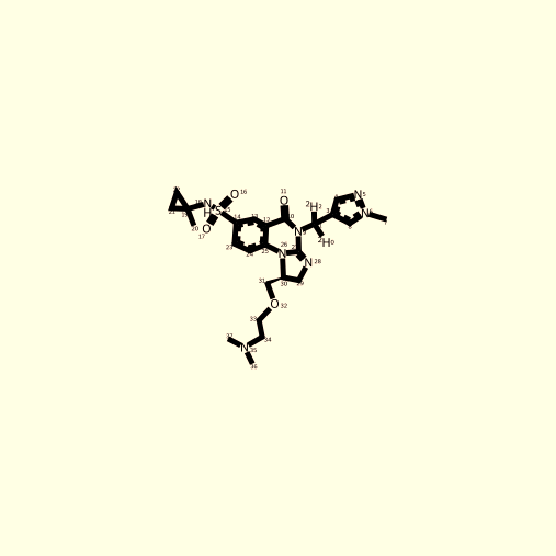 [2H]C([2H])(c1cnn(C)c1)N1C(=O)c2cc(S(=O)(=O)NC3(C)CC3)ccc2N2C1=NC[C@H]2COCCN(C)C